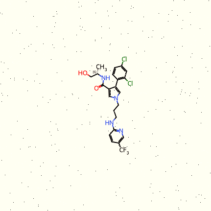 C[C@@H](CO)NC(=O)c1cn(CCCNc2ccc(C(F)(F)F)cn2)cc1-c1ccc(Cl)cc1Cl